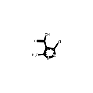 Cc1noc(Cl)c1C(=O)O